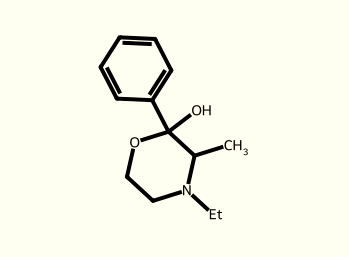 CCN1CCOC(O)(c2ccccc2)C1C